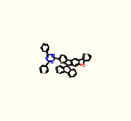 c1ccc(-c2nc(-c3ccccc3)nc(-c3ccc4c(c3)C3(c5ccccc5-c5ccccc53)c3cc5oc6ccccc6c5cc3-4)n2)cc1